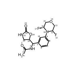 CC(=O)NC(c1cccc(N2C(F)COC[C@@H]2F)c1)C1CNC(=O)O1